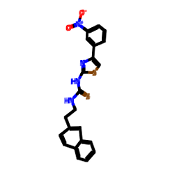 O=[N+]([O-])c1cccc(-c2csc(NC(=S)NCCc3ccc4ccccc4c3)n2)c1